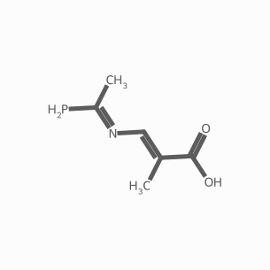 C/C(=C\N=C(/C)P)C(=O)O